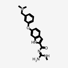 CNC(N)=NC(=O)c1cc2ccc(Oc3cccc(CN(C)C)c3)cc2[nH]1